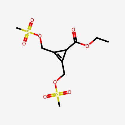 CCOC(=O)C1C(COS(C)(=O)=O)=C1COS(C)(=O)=O